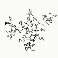 CC(C)(CCc1nc([C@H](Cc2cc(F)cc(F)c2)NC(=O)Cn2nc(C(F)F)c3c2C(F)(F)CC3)c(-c2ccc(Cl)c3c(NS(C)(=O)=O)nn(CC(F)(F)F)c23)cc1I)S(=O)(=O)C1CC1